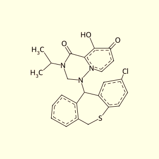 CC(C)N1CN(C2c3ccccc3CSc3ccc(Cl)cc32)n2ccc(=O)c(O)c2C1=O